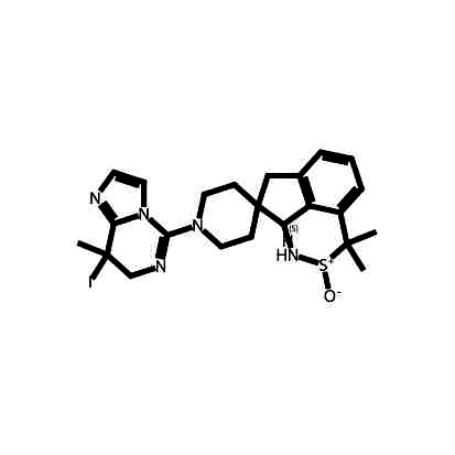 CC1(I)CN=C(N2CCC3(CC2)Cc2cccc4c2[C@H]3N[S+]([O-])C4(C)C)n2ccnc21